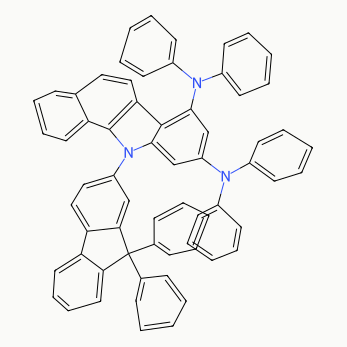 c1ccc(N(c2ccccc2)c2cc(N(c3ccccc3)c3ccccc3)c3c4ccc5ccccc5c4n(-c4ccc5c(c4)C(c4ccccc4)(c4ccccc4)c4ccccc4-5)c3c2)cc1